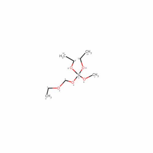 CCOCO[Si](OC)(OCC)OCC